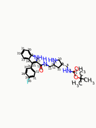 CC(C)(C)OC(=O)NC[C@H]1CN[C@H](CNC(=O)c2[nH]c3ccccc3c2-c2ccc(F)cc2)C1